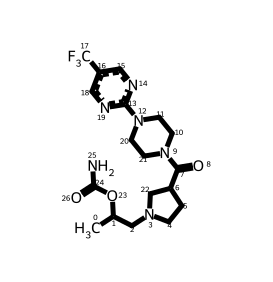 CC(CN1CCC(C(=O)N2CCN(c3ncc(C(F)(F)F)cn3)CC2)C1)OC(N)=O